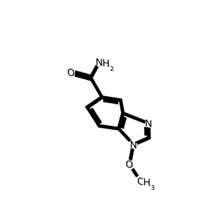 COn1cnc2cc(C(N)=O)ccc21